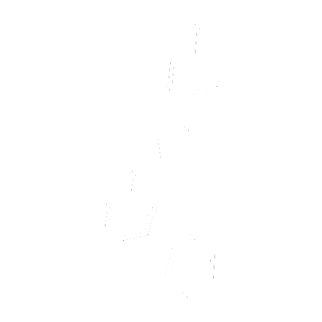 O=[N+]([O-])c1ccc(NCCNc2nccc(-c3cnccn3)n2)nc1